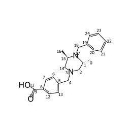 C[C@@H]1CN(Cc2ccc(C(=O)O)cc2)C[C@@H](C)N1Cc1ccccc1